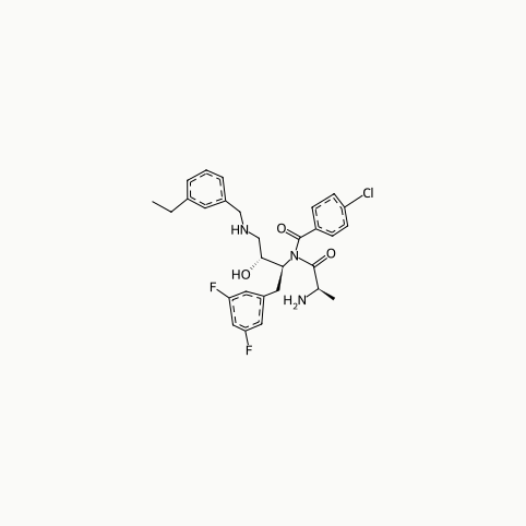 CCc1cccc(CNC[C@@H](O)[C@H](Cc2cc(F)cc(F)c2)N(C(=O)c2ccc(Cl)cc2)C(=O)[C@@H](C)N)c1